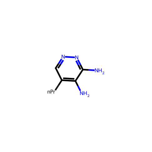 CCCc1cnnc(N)c1N